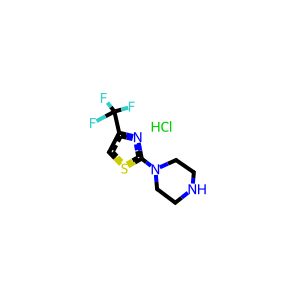 Cl.FC(F)(F)c1csc(N2CCNCC2)n1